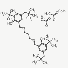 CC(=O)[O-].CC(=O)[O-].CC(C)(C)Cc1cc(C=NCCCN=Cc2cc(CC(C)(C)C)cc(C(C)(C)C)c2O)c(O)c(C(C)(C)C)c1.[Co+2]